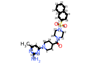 Cc1cc(N2CCC(C(=O)N3CCN(S(=O)(=O)c4ccc5ccccc5c4)CC3)CC2)nc(N)n1